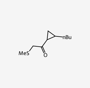 CCCCC1CC1C(=O)CSC